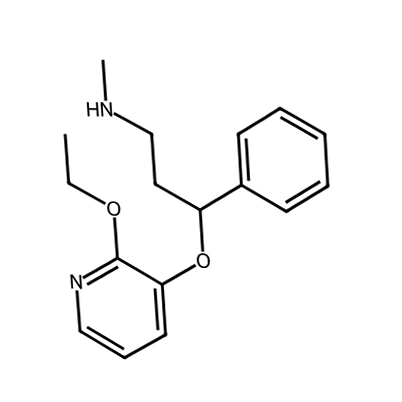 CCOc1ncccc1OC(CCNC)c1ccccc1